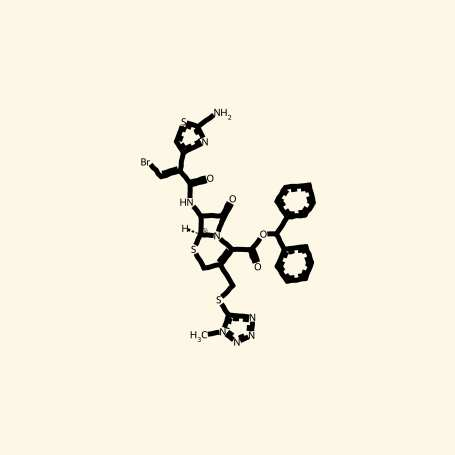 Cn1nnnc1SCC1=C(C(=O)OC(c2ccccc2)c2ccccc2)N2C(=O)C(NC(=O)C(=CBr)c3csc(N)n3)[C@@H]2SC1